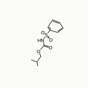 CC(C)COC(=O)NS(=O)(=O)c1ccccc1